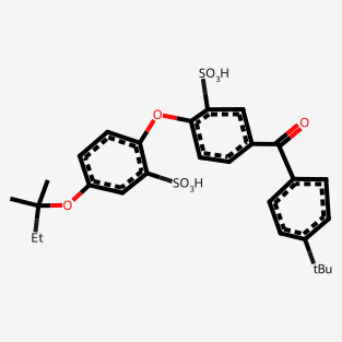 CCC(C)(C)Oc1ccc(Oc2ccc(C(=O)c3ccc(C(C)(C)C)cc3)cc2S(=O)(=O)O)c(S(=O)(=O)O)c1